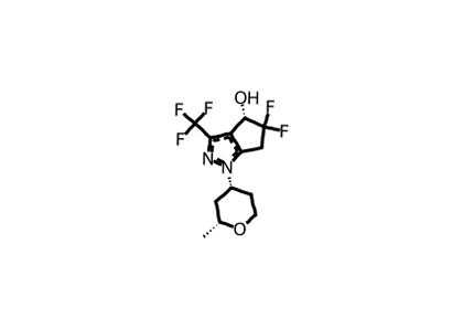 C[C@@H]1C[C@H](n2nc(C(F)(F)F)c3c2CC(F)(F)[C@H]3O)CCO1